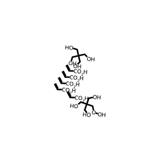 C=CC(=O)O.C=CC(=O)O.C=CC(=O)O.C=CC(=O)O.C=CC(=O)O.OCC(CO)(CO)CO.OCC(CO)(CO)COO